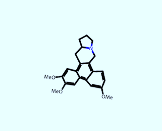 COc1ccc2c3c(c4cc(OC)c(OC)cc4c2c1)CC1CCCN1C3